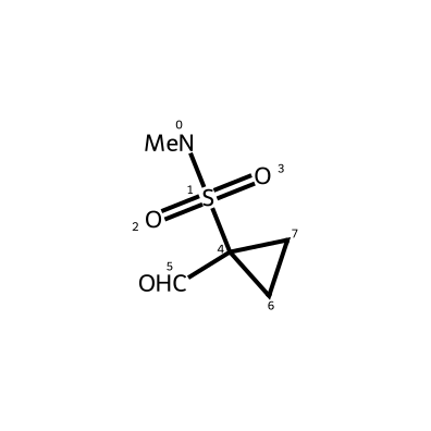 CNS(=O)(=O)C1(C=O)CC1